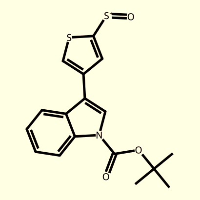 CC(C)(C)OC(=O)n1cc(-c2csc([S+]=O)c2)c2ccccc21